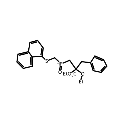 CCOC(=O)C(Cc1ccccc1)(C[PH](=O)CSc1cccc2ccccc12)OCC